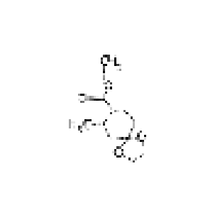 CCOC(=O)[C@H]1CCC2(C[C@H]1C)OCCO2